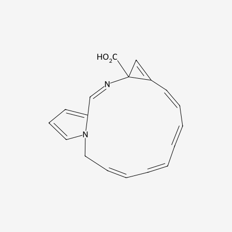 O=C(O)C12C=C1C=CC=CC=CC=CCn1cccc1C=N2